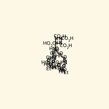 CCNC(=O)C(=N)N(C(=N)c1cc(C(C)C)c(O)cc1O)c1ccc(CN2CCN(C(=O)CC[C@@H](NC(=O)CC[C@H](C(=O)O)N3CCN(CC(=O)O)CCN(CC(=O)O)CCN(CC(=O)O)CC3)C(=O)NCCC(=O)NCCC(=O)N3CCN(Cc4ccc(-n5c(C(=O)NCC)nnc5-c5cc(C(C)C)c(O)cc5O)cc4)CC3)CC2)cc1